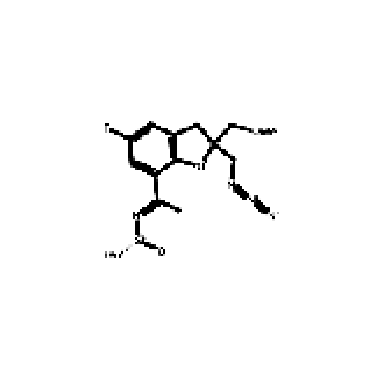 COCC1(CN=[N+]=[N-])Cc2cc(F)cc(/C(C)=N/[S@+]([O-])C(C)(C)C)c2O1